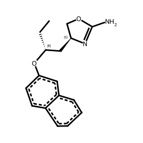 CC[C@H](C[C@H]1COC(N)=N1)Oc1ccc2ccccc2c1